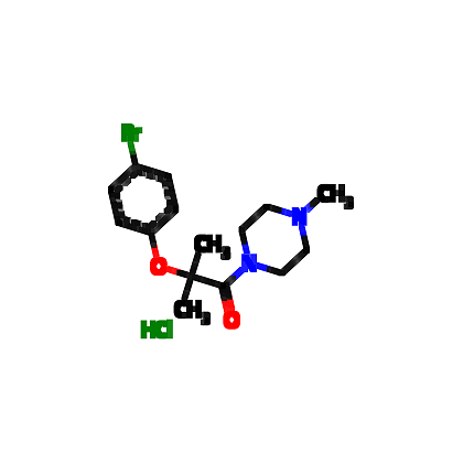 CN1CCN(C(=O)C(C)(C)Oc2ccc(Br)cc2)CC1.Cl